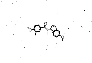 COc1ccc2c(c1)CC[C@@H]2NC(=O)c1ccc(OC)c(C)c1